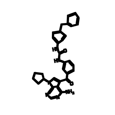 Nc1ncnc2c1c(C(=O)c1cccc(NC(=O)Nc3ccc(Cc4ccccc4)cc3)c1)cn2C1CCCC1